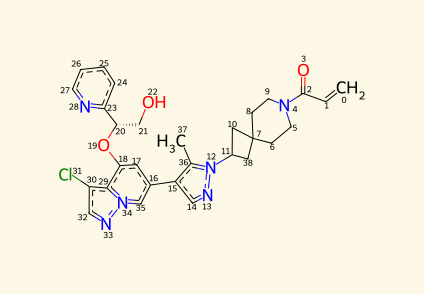 C=CC(=O)N1CCC2(CC1)CC(n1ncc(-c3cc(O[C@@H](CO)c4ccccn4)c4c(Cl)cnn4c3)c1C)C2